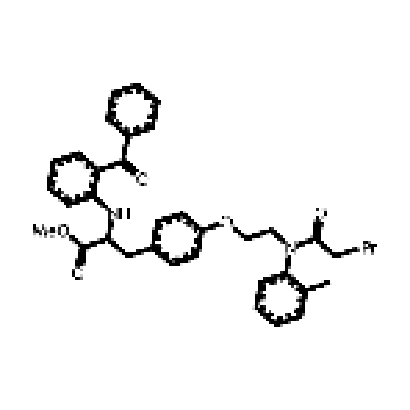 COC(=O)C(Cc1ccc(OCCN(C(=O)CC(C)C)c2ccccc2C)cc1)Nc1ccccc1C(=O)c1ccccc1